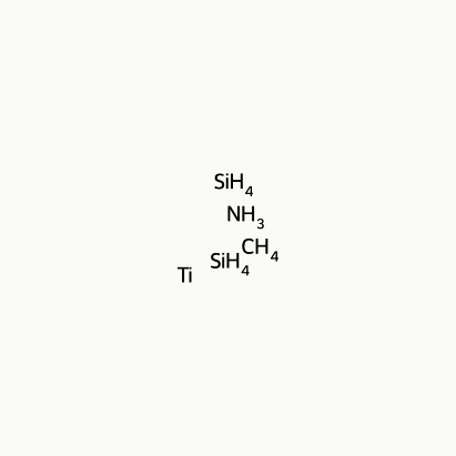 C.N.[SiH4].[SiH4].[Ti]